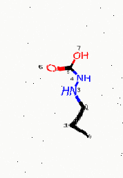 CCCNNC(=O)O